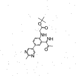 CC(=O)C(=N)c1cc(-c2cnc(C)nc2)ccc1NCC(=O)OC(C)(C)C